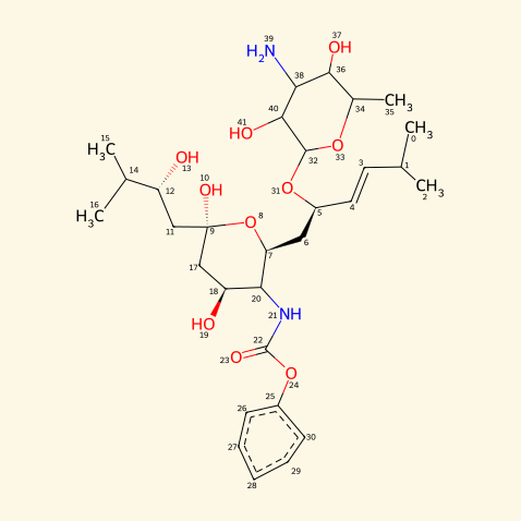 CC(C)/C=C/[C@@H](C[C@@H]1O[C@](O)(C[C@@H](O)C(C)C)C[C@H](O)C1NC(=O)Oc1ccccc1)OC1OC(C)C(O)C(N)C1O